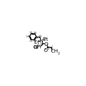 C=CC(=O)OC(CCC)[N+](CC)(CC)Cc1ccccc1.[Cl-]